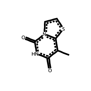 Cc1c(=O)[nH]c(=O)n2ccsc12